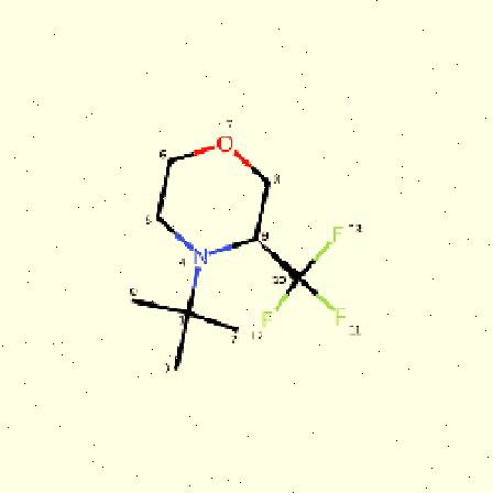 CC(C)(C)N1CCOC[C@H]1C(F)(F)F